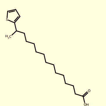 CC(CCCCCCCCCCCCC(=O)O)c1cccs1